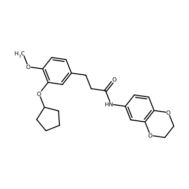 COc1ccc(CCC(=O)Nc2ccc3c(c2)OCCO3)cc1OC1CCCC1